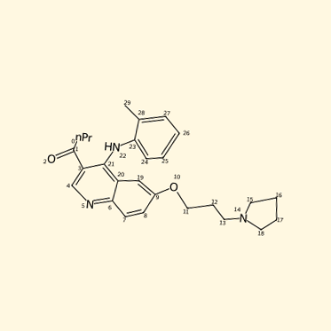 CCCC(=O)c1cnc2ccc(OCCCN3CCCC3)cc2c1Nc1ccccc1C